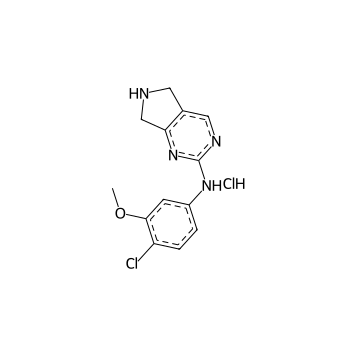 COc1cc(Nc2ncc3c(n2)CNC3)ccc1Cl.Cl